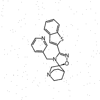 c1cncc(CN2C(c3cc4ccccc4s3)=NO[C@@]23CN2CCC3CC2)c1